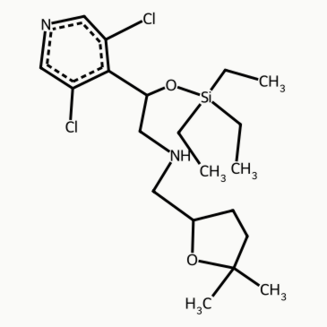 CC[Si](CC)(CC)OC(CNCC1CCC(C)(C)O1)c1c(Cl)cncc1Cl